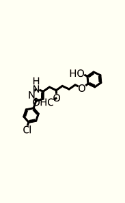 O=COC(CCCOc1ccccc1O)Cc1cc(-c2ccc(Cl)cc2)n[nH]1